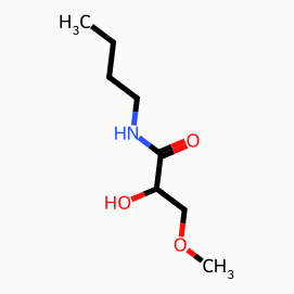 CCCCNC(=O)C(O)COC